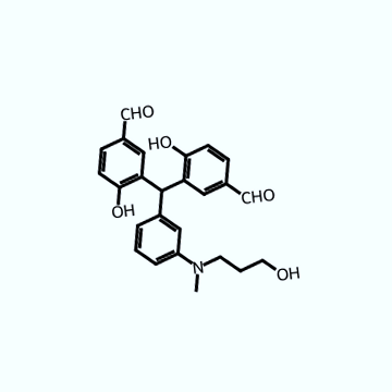 CN(CCCO)c1cccc(C(c2cc(C=O)ccc2O)c2cc(C=O)ccc2O)c1